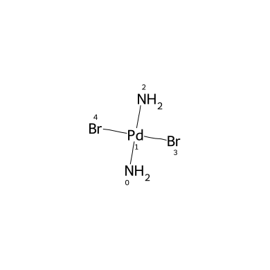 [NH2][Pd]([NH2])([Br])[Br]